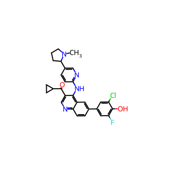 CN1CCCC1c1ccc(Nc2c(C(=O)C3CC3)cnc3ccc(-c4cc(F)c(O)c(Cl)c4)cc23)nc1